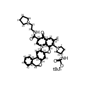 CC(C)(C)OC(=O)N[C@H]1CCN(c2c(F)cc3c(=O)c(C(=O)NCCN4CCCC4)cn4c3c2Oc2cc3c(cc2-4)-c2ccccc2CO3)C1